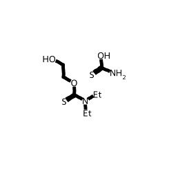 CCN(CC)C(=S)OCCO.NC(O)=S